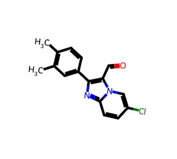 Cc1ccc(-c2nc3ccc(Cl)cn3c2C=O)cc1C